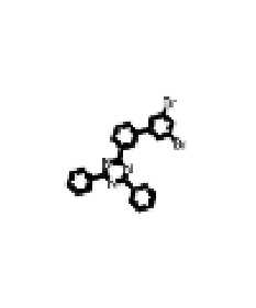 Brc1cc(Br)cc(-c2cccc(-c3nc(-c4ccccc4)nc(-c4ccccc4)n3)c2)c1